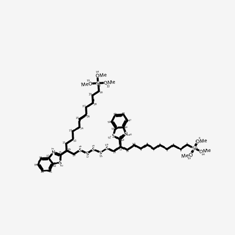 CO[Si](CCCCCCCCCCC(CSSSSSCC(CCCCCCCCCC[Si](OC)(OC)OC)c1nc2ccccc2s1)c1nc2ccccc2s1)(OC)OC